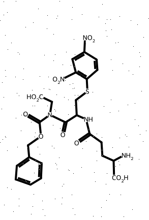 NC(CCC(=O)NC(CSc1ccc([N+](=O)[O-])cc1[N+](=O)[O-])C(=O)N(CC(=O)O)C(=O)OCc1ccccc1)C(=O)O